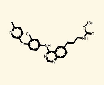 Cc1ccc(Oc2ccc(Nc3ncnc4ccc(C=CCNC(=O)OC(C)(C)C)cc34)cc2Cl)cn1